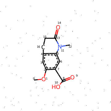 COc1cc2c(cc1C(=O)O)N(C)C(=O)CC2